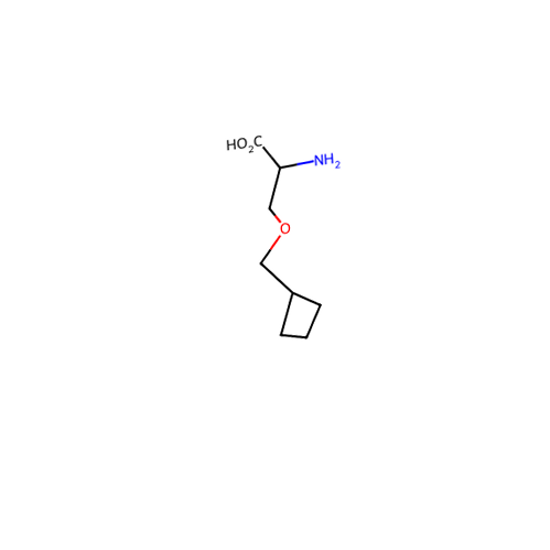 NC(COCC1CCC1)C(=O)O